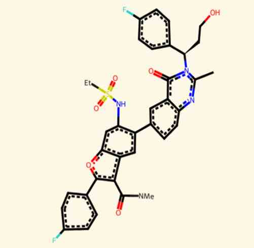 CCS(=O)(=O)Nc1cc2oc(-c3ccc(F)cc3)c(C(=O)NC)c2cc1-c1ccc2nc(C)n([C@H](CCO)c3ccc(F)cc3)c(=O)c2c1